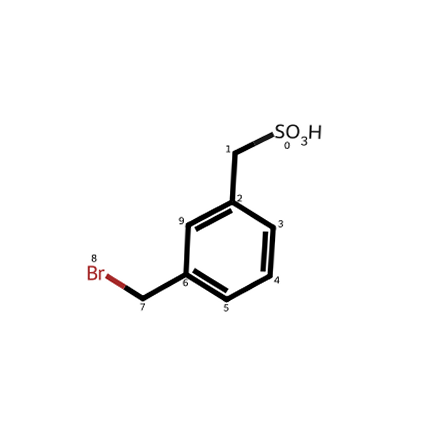 O=S(=O)(O)Cc1cccc(CBr)c1